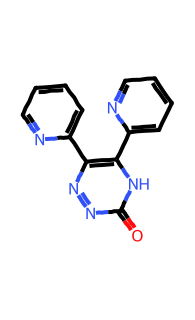 O=c1nnc(-c2ccccn2)c(-c2ccccn2)[nH]1